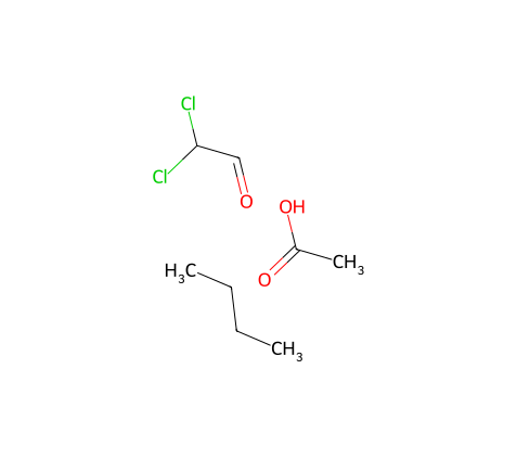 CC(=O)O.CCCC.O=CC(Cl)Cl